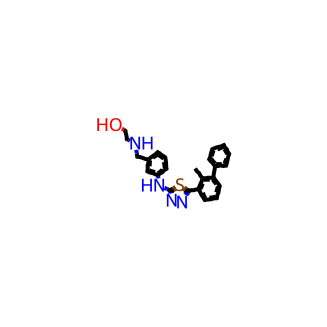 Cc1c(-c2ccccc2)cccc1-c1nnc(Nc2cccc(CNCCO)c2)s1